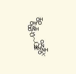 CC(C)(C)C(=O)Nc1nc(=O)c2cc(CCc3ccc(C(=O)N[C@@H](CCC(=O)O)C(=O)O)s3)cnc2[nH]1